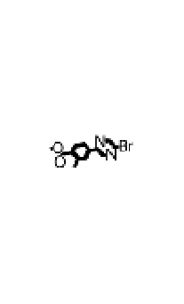 COC(=O)c1ccc(-c2cnc(Br)cn2)cc1C